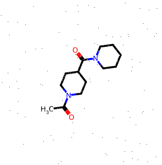 CC(=O)N1CCC(C(=O)N2CCCCC2)CC1